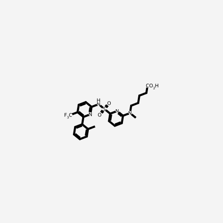 Cc1ccccc1-c1nc(NS(=O)(=O)c2cccc(N(C)CCCCC(=O)O)n2)ccc1C(F)(F)F